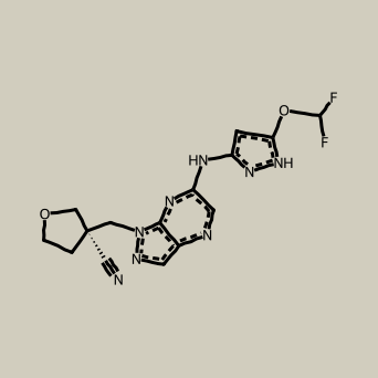 N#C[C@]1(Cn2ncc3ncc(Nc4cc(OC(F)F)[nH]n4)nc32)CCOC1